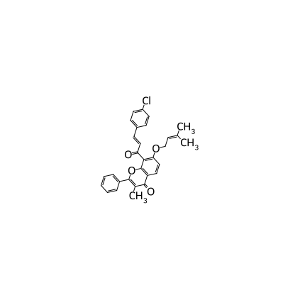 CC(C)=CCOc1ccc2c(=O)c(C)c(-c3ccccc3)oc2c1C(=O)C=Cc1ccc(Cl)cc1